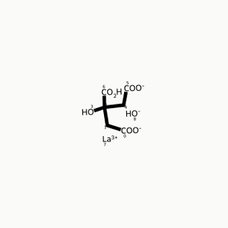 O=C([O-])CC(O)(CC(=O)[O-])C(=O)O.[La+3].[OH-]